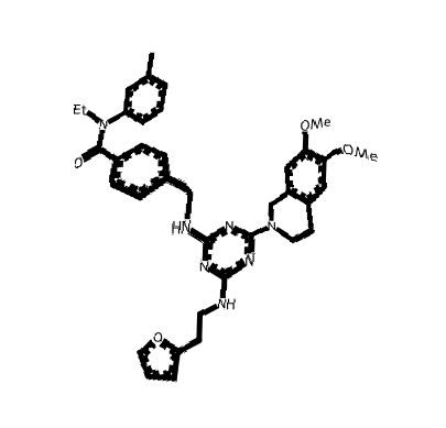 CCN(C(=O)c1ccc(CNc2nc(NCCc3ccco3)nc(N3CCc4cc(OC)c(OC)cc4C3)n2)cc1)c1cccc(C)c1